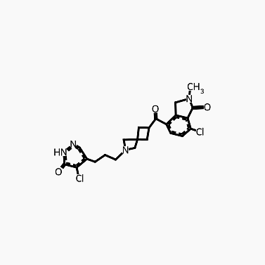 CN1Cc2c(C(=O)C3CC4(C3)CN(CCCc3cn[nH]c(=O)c3Cl)C4)ccc(Cl)c2C1=O